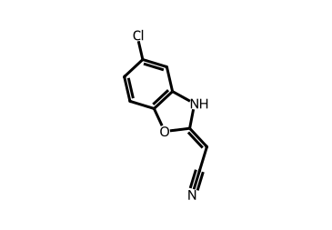 N#CC=C1Nc2cc(Cl)ccc2O1